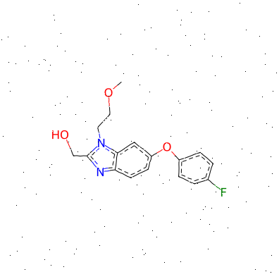 COCCn1c(CO)nc2ccc(Oc3ccc(F)cc3)cc21